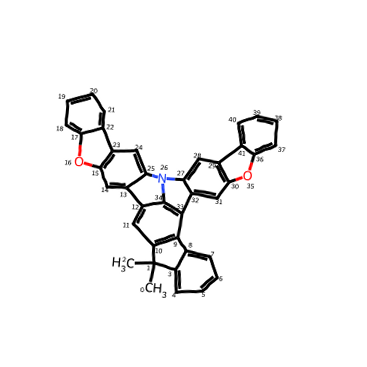 CC1(C)c2ccccc2-c2c1cc1c3cc4oc5ccccc5c4cc3n3c4cc5c(cc4c2c13)oc1ccccc15